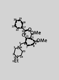 CCN1CCN(Cc2ccc(OC)c(OC)c2OC(=O)c2ccccc2)CC1